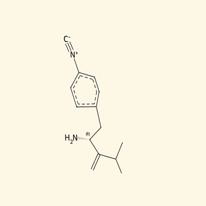 [C-]#[N+]c1ccc(C[C@@H](N)C(=C)C(C)C)cc1